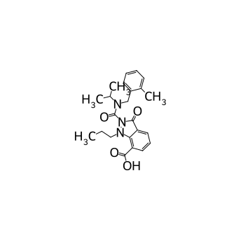 CCCn1c2c(C(=O)O)cccc2c(=O)n1C(=O)N(Cc1ccccc1C)C(C)C